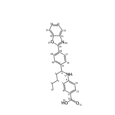 CCCCC(Nc1ccc(C(=O)O)cc1)c1ccc(-c2nc3ccccc3o2)cc1